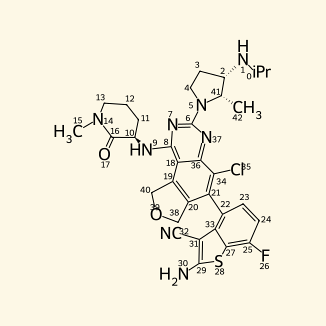 CC(C)N[C@H]1CCN(c2nc(N[C@@H]3CCCN(C)C3=O)c3c4c(c(-c5ccc(F)c6sc(N)c(C#N)c56)c(Cl)c3n2)COC4)[C@H]1C